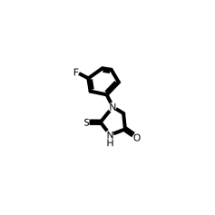 O=C1CN(c2cccc(F)c2)C(=S)N1